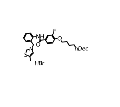 Br.CCCCCCCCCCCCCCOc1ccc(C(=O)Nc2ccccc2CN2C=C(C)SC2)cc1F